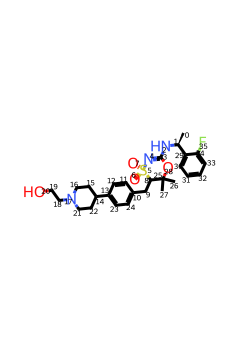 C[C@H](NC1=NS(=O)(=O)C(Cc2ccc(C3CCN(CCO)CC3)cc2)C(C)(C)O1)c1ccccc1F